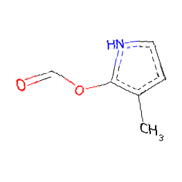 Cc1cc[nH]c1OC=O